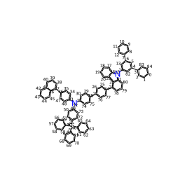 c1ccc(-c2cc(-c3ccccc3)cc(-n3c4ccccc4c4c(-c5ccc(-c6ccc(N(c7ccc(-c8cccc9ccccc89)cc7)c7ccc([Si](c8ccccc8)(c8ccccc8)c8ccccc8)cc7)cc6)cc5)cccc43)c2)cc1